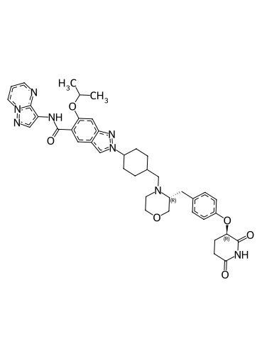 CC(C)Oc1cc2nn(C3CCC(CN4CCOC[C@H]4Cc4ccc(O[C@@H]5CCC(=O)NC5=O)cc4)CC3)cc2cc1C(=O)Nc1cnn2cccnc12